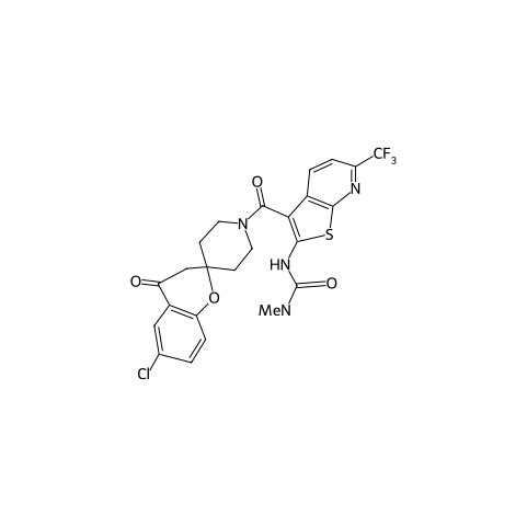 CNC(=O)Nc1sc2nc(C(F)(F)F)ccc2c1C(=O)N1CCC2(CC1)CC(=O)c1cc(Cl)ccc1O2